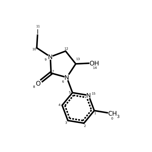 Cc1cccc(N2C(=O)N(CI)CC2O)n1